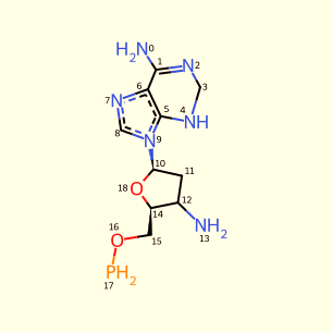 NC1=NCNc2c1ncn2[C@H]1CC(N)[C@@H](COP)O1